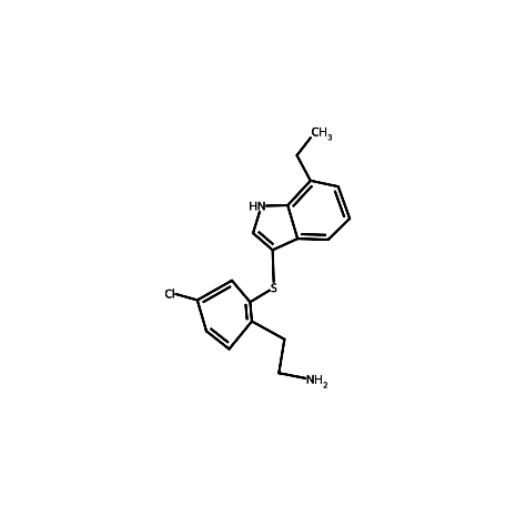 CCc1cccc2c(Sc3cc(Cl)ccc3CCN)c[nH]c12